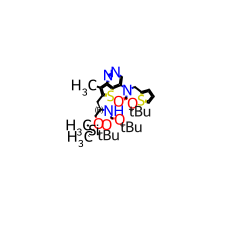 Cc1c(C[C@H](CO[Si](C)(C)C(C)(C)C)NC(=O)OC(C)(C)C)sc2c(N(Cc3cccs3)C(=O)OC(C)(C)C)cnnc12